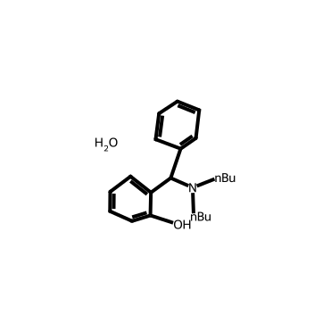 CCCCN(CCCC)C(c1ccccc1)c1ccccc1O.O